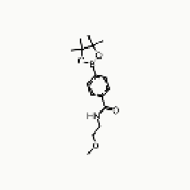 COCCNC(=O)c1ccc(B2OC(C)(C)C(C)(C)O2)cc1